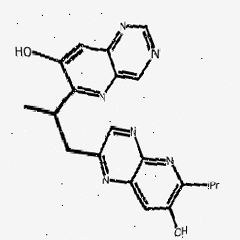 CC(C)c1nc2ncc(CC(C)c3nc4cncnc4cc3O)nc2cc1O